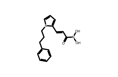 O=C(C=Cc1cccn1CCCc1ccccc1)N(O)O